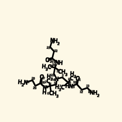 CC(C)(CN(CC(C)(C)NC(=O)CCN)CC(C)(C)NC(=O)CCN)NC(=O)CCN